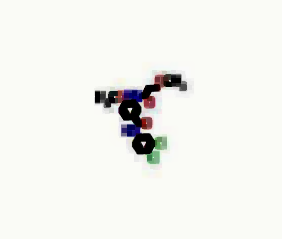 COCCC(=O)Nc1cc(C(=O)Nc2ccc(Cl)c(Cl)c2)ccc1OC